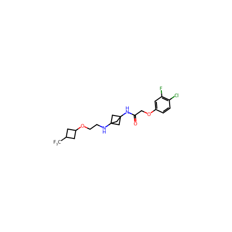 O=C(COc1ccc(Cl)c(F)c1)NC12CC(NCCOC3CC(C(F)(F)F)C3)(C1)C2